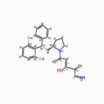 N=CC(=O)/C(O)=C/C(=O)N1CCC[C@@H]1C[C@@H](c1ccccc1)c1c(F)cccc1F